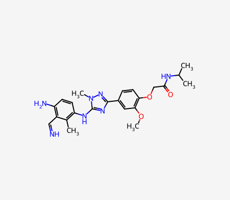 COc1cc(-c2nc(Nc3ccc(N)c(C=N)c3C)n(C)n2)ccc1OCC(=O)NC(C)C